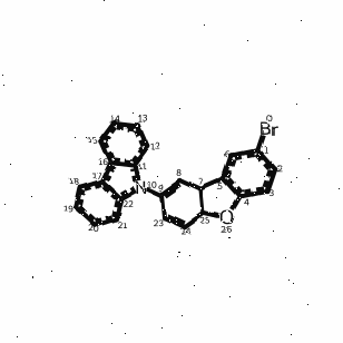 Brc1ccc2c(c1)C1C=C(n3c4ccccc4c4ccccc43)C=CC1O2